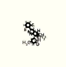 Cc1cc([C@@]23CC[C@@H](c4cc(-c5c(F)cccc5F)nnc42)C3(C)C)[nH]c(=O)c1